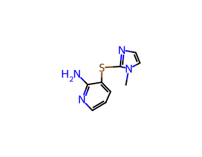 Cn1ccnc1Sc1cccnc1N